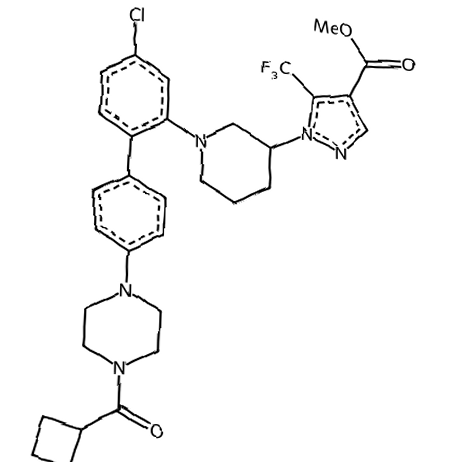 COC(=O)c1cnn(C2CCCN(c3cc(Cl)ccc3-c3ccc(N4CCN(C(=O)C5CCC5)CC4)cc3)C2)c1C(F)(F)F